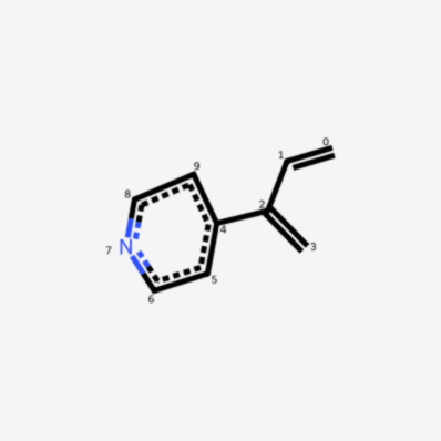 C=CC(=C)c1ccncc1